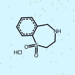 Cl.O=S1(=O)CCNCc2ccccc21